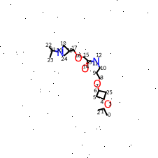 CC(C)OC1CC(OCCCN(C)C(=O)COCC2CN(C(C)C)C2)C1